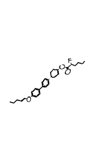 CCCCCOc1ccc(-c2ccc([C@H]3CC[C@H](OC(=O)[C@@H](F)CCCC)CC3)cc2)cc1